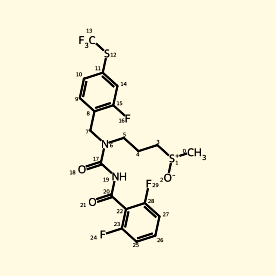 C[S+]([O-])CCCN(Cc1ccc(SC(F)(F)F)cc1F)C(=O)NC(=O)c1c(F)cccc1F